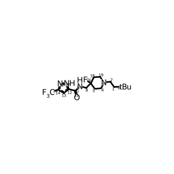 CC(C)(C)CCN1CCC(F)(CNC(=O)c2cc(C(F)(F)F)n[nH]2)CC1